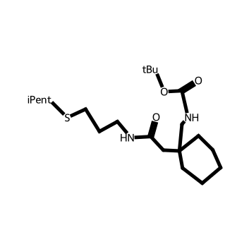 CCCC(C)SCCCNC(=O)CC1(CNC(=O)OC(C)(C)C)CCCCC1